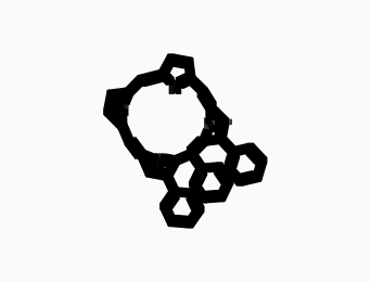 [c]1c(-c2ccccc2)c2[nH]c1cc1nc(cc3ccc(cc4nc(c2-c2ccccc2)C(c2ccccc2)=C4)[nH]3)C=C1